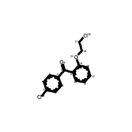 O=C(c1ccc(Cl)cc1)c1ccccc1OCCCl